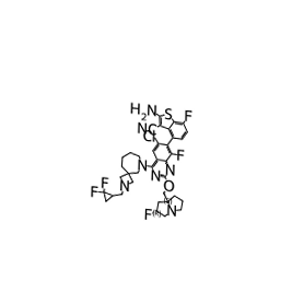 N#Cc1c(N)sc2c(F)ccc(-c3c(Cl)cc4c(N5CCCCC6(CN(CC7CC7(F)F)C6)C5)nc(OC[C@@]56CCCN5C[C@H](F)C6)nc4c3F)c12